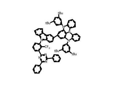 CC(C)(C)c1cc(N2c3ccccc3B3c4ccccc4N(c4cc(C(C)(C)C)cc(C(C)(C)C)c4)c4cc(-c5ccc6c(c5)c5ccccc5n6-c5cccc(-c6nc(-c7ccccc7)nc(-c7ccccc7)n6)c5C(F)(F)F)cc2c43)cc(C(C)(C)C)c1